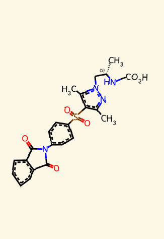 Cc1nn(C[C@H](C)NC(=O)O)c(C)c1S(=O)(=O)c1ccc(N2C(=O)c3ccccc3C2=O)cc1